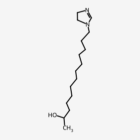 CC(O)CCCCCCCCCCCN1C=NCC1